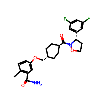 Cc1ccc(OC[C@H]2CC[C@H](C(=O)N3OCC[C@H]3c3cc(F)cc(F)c3)CC2)cc1C(N)=O